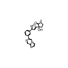 CN1CCC(O)(c2cc(-c3cccc(-c4cn5ccnc5cn4)c3)no2)C1=O